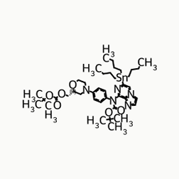 CCC[CH2][Sn]([CH2]CCC)([CH2]CCC)[c]1cn2ccnc2c(N(C(=O)OC(C)(C)C)c2ccc(N3CCO[C@@H](COC(=O)OC(C)(C)C)C3)cc2)n1